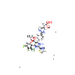 COC(=O)C1=C([C@H]2CC[C@H](c3ncc(CC(=O)O)cn3)CC2)NC(c2nccs2)=NC1c1ccc(F)c(F)c1Cl